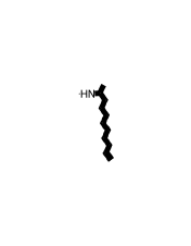 C=CCCCCCCCC(C)[NH]